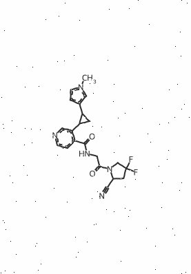 Cn1ccc(C2CC2c2cnccc2C(=O)NCC(=O)N2CC(F)(F)CC2C#N)c1